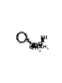 CC(C)(CCN=[N+]=N)OCCC(C)(C)C(=O)NCCCCC1CCCCCCCCCCCCCCC1